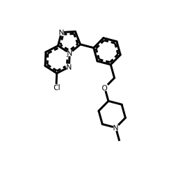 CN1CCC(OCc2cccc(-c3cnc4ccc(Cl)nn34)c2)CC1